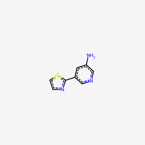 Nc1cncc(-c2nccs2)c1